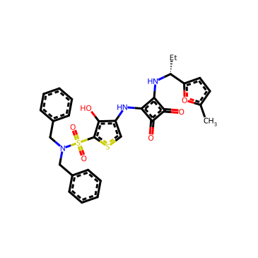 CC[C@@H](Nc1c(Nc2csc(S(=O)(=O)N(Cc3ccccc3)Cc3ccccc3)c2O)c(=O)c1=O)c1ccc(C)o1